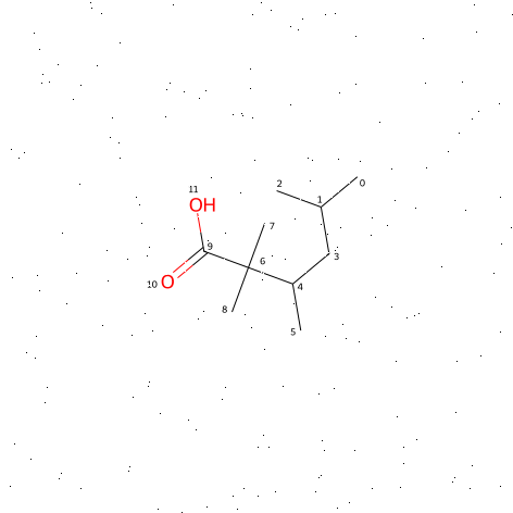 CC(C)CC(C)C(C)(C)C(=O)O